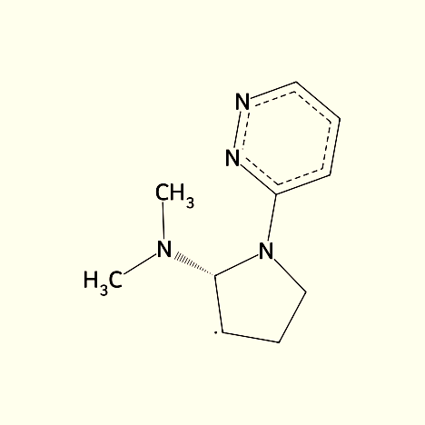 CN(C)[C@H]1[CH]CCN1c1cccnn1